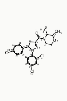 CC1OCCN(C(=O)C2=NN(c3ccc(Cl)cc3Cl)C(c3ccc(Cl)cc3)C2)C1C